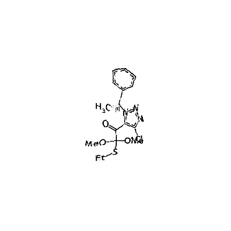 CCSC(OC)(OC)C(=O)c1c(Cl)nnn1[C@H](C)c1ccccc1